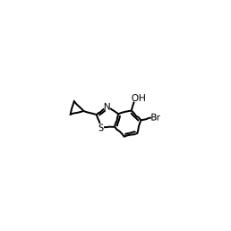 Oc1c(Br)ccc2sc(C3CC3)nc12